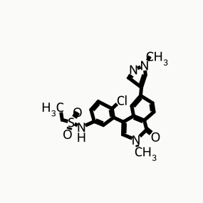 CCS(=O)(=O)Nc1ccc(Cl)c(-c2cn(C)c(=O)c3ccc(-c4cnn(C)c4)cc23)c1